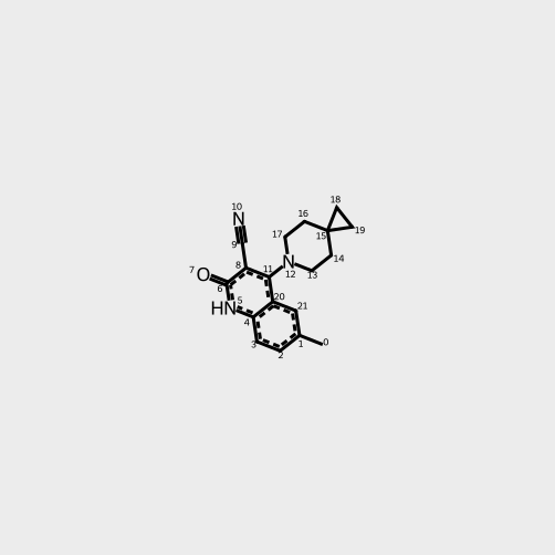 Cc1ccc2[nH]c(=O)c(C#N)c(N3CCC4(CC3)CC4)c2c1